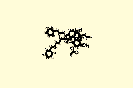 C=CCN1CC[C@]23c4c5c(O)cc(OC(C)=O)c4O[C@H]2[C@@H](N(CCCc2ccccc2)C(=O)CCCCCc2ccccc2)CC[C@H]3[C@H]1C5